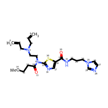 C=CCN(CC=C)CCN(C(=O)CCOC)c1ncc(C(=O)NCCCn2ccnc2)s1